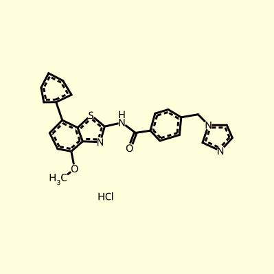 COc1ccc(-c2ccccc2)c2sc(NC(=O)c3ccc(Cn4ccnc4)cc3)nc12.Cl